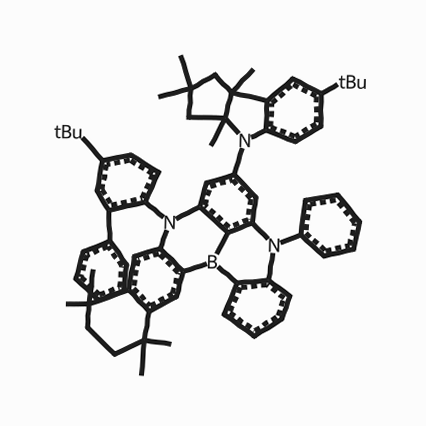 CC1(C)CC2(C)c3cc(C(C)(C)C)ccc3N(c3cc4c5c(c3)N(c3ccc(C(C)(C)C)cc3-c3ccccc3)c3cc6c(cc3B5c3ccccc3N4c3ccccc3)C(C)(C)CCC6(C)C)C2(C)C1